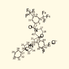 O=C(c1cc(C(F)(F)F)cc(C(F)(F)F)c1)N1CCOC(CC[N+]23CCC(c4ccccc4)(CC2)CC3)(c2ccc(F)c(F)c2)C1.[Cl-]